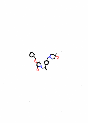 C=C(Cn1ccc(OCc2ccccc2)cc1=O)c1ccc(CN2CCC(C)(OC)CC2)cc1